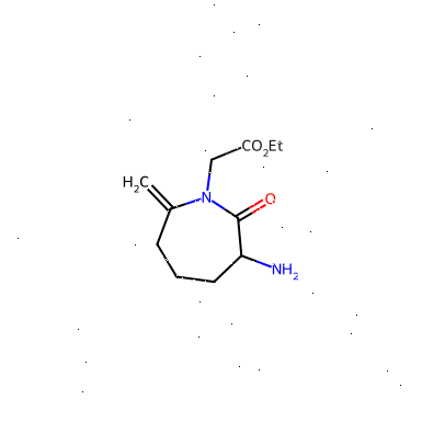 C=C1CCCC(N)C(=O)N1CC(=O)OCC